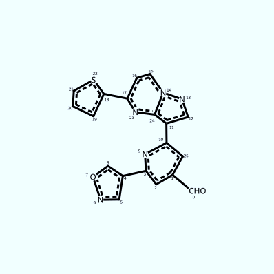 O=Cc1cc(-c2cnoc2)nc(-c2cnn3ccc(-c4cccs4)nc23)c1